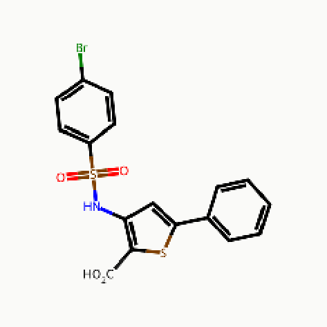 O=C(O)c1sc(-c2ccccc2)cc1NS(=O)(=O)c1ccc(Br)cc1